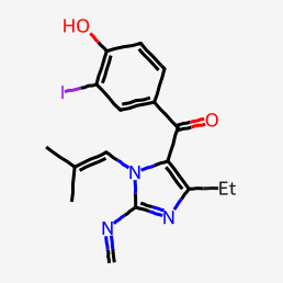 C=Nc1nc(CC)c(C(=O)c2ccc(O)c(I)c2)n1C=C(C)C